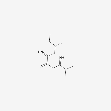 C=C(CC(=N)C(C)C)C(=N)C[C@@H](C)CC